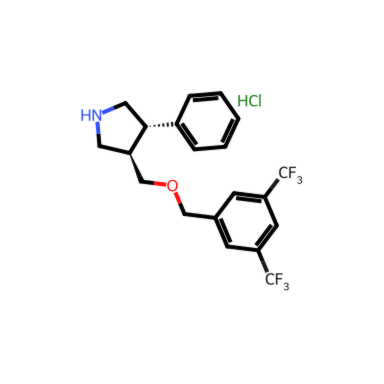 Cl.FC(F)(F)c1cc(COC[C@H]2CNC[C@@H]2c2ccccc2)cc(C(F)(F)F)c1